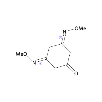 CO/N=C1\CC(=O)C/C(=N/OC)C1